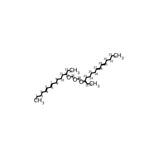 CCCCC=CC=CCCCCC(CC)OCOCOC(CC)CCCCC=CC=CCCCC